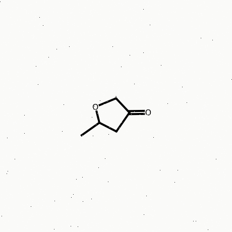 CC1CC(=O)[CH]O1